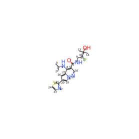 CC(C)Nc1c(C(=O)NC[C@@H](F)C(C)(C)O)cnn2cc(-c3nccs3)cc12